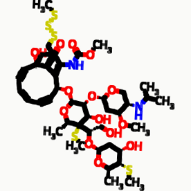 COC(=O)NC1=C2/C(=C/CSSSC)[C@](O)(C#C/C=C\C#C[C@@H]2O[C@@H]2O[C@H](C)[C@@](SC)([C@H](CO)O[C@H]3C[C@H](O)[C@H](SC)[C@@H](C)O3)[C@H](O)[C@H]2O[C@H]2C[C@H](OC)[C@@H](NC(C)C)CO2)CC1=O